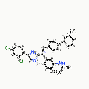 CCCC(Nc1ccc(Cn2cc(-c3ccc(Cl)cc3Cl)nc2/C=C/c2ccc(-c3cccc(C(F)(F)F)c3)cc2)cc1)C(=O)OCC